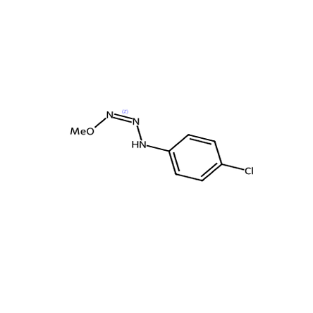 CO/N=N\Nc1ccc(Cl)cc1